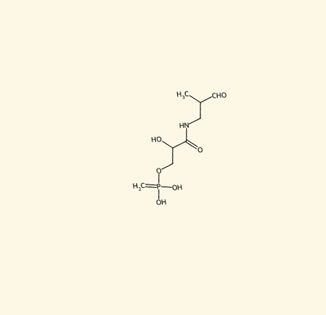 C=P(O)(O)OCC(O)C(=O)NCC(C)C=O